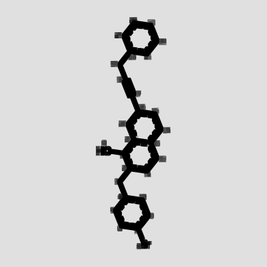 Oc1c(Cc2ccc(Br)cc2)ccc2ccc(C#CCc3ccccc3)cc12